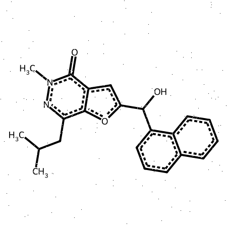 CC(C)Cc1nn(C)c(=O)c2cc(C(O)c3cccc4ccccc34)oc12